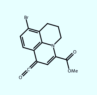 COC(=O)C1=CC(=C=O)c2ccc(Br)c3c2N1CCC3